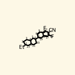 CCC1CCC2CC(c3ccc4c(F)c(C#N)c(F)cc4c3)CCC2C1